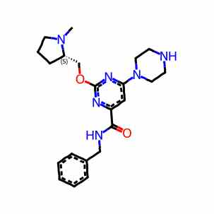 CN1CCC[C@H]1COc1nc(C(=O)NCc2ccccc2)cc(N2CCNCC2)n1